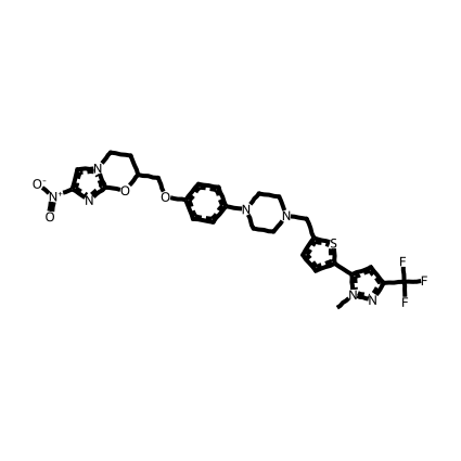 Cn1nc(C(F)(F)F)cc1-c1ccc(CN2CCN(c3ccc(OCC4CCn5cc([N+](=O)[O-])nc5O4)cc3)CC2)s1